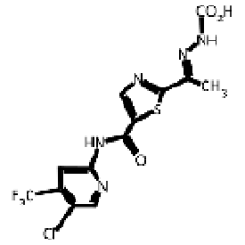 CC(=NNC(=O)O)c1ncc(C(=O)Nc2cc(C(F)(F)F)c(Cl)cn2)s1